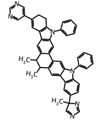 CC1c2cc3c4c(n(-c5ccccc5)c3cc2-c2cc3c(cc2C1C)c1cc(C2(C)C=NC=N2)ccc1n3-c1ccccc1)CCC(c1cncnc1)=C4